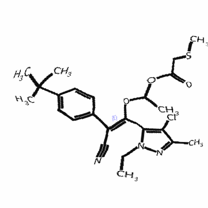 CCn1nc(C)c(Cl)c1/C(OC(C)OC(=O)CSC)=C(\C#N)c1ccc(C(C)(C)C)cc1